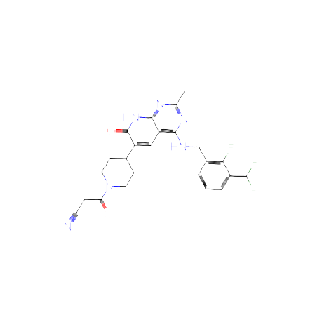 Cc1nc(NCc2cccc(C(F)F)c2F)c2cc(C3CCN(C(=O)CC#N)CC3)c(=O)[nH]c2n1